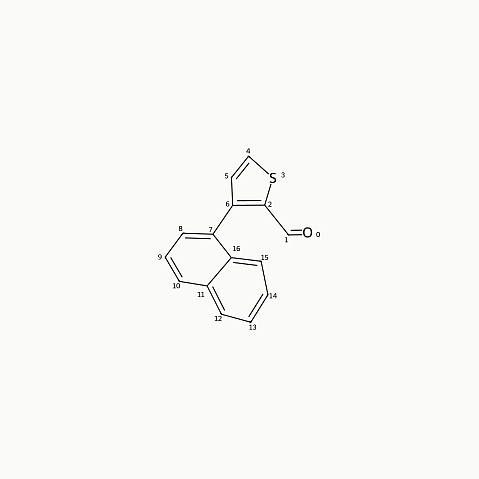 O=Cc1sccc1-c1cccc2ccccc12